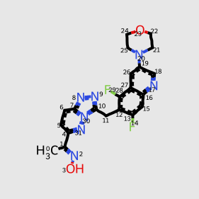 CC(=NO)c1ccc2nnc(Cc3c(F)cc4ncc(N5CCOCC5)cc4c3F)n2n1